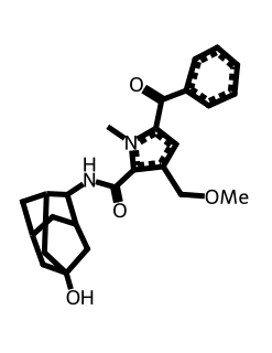 COCc1cc(C(=O)c2ccccc2)n(C)c1C(=O)NC1C2CC3CC1CC(O)(C3)C2